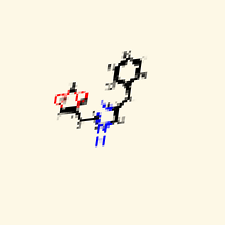 C1=C(Cc2nc(Cc3ccccc3)c[nH]2)OCO1